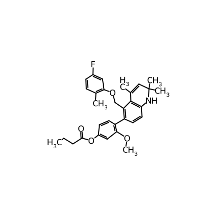 CCCC(=O)Oc1ccc(-c2ccc3c(c2COc2cc(F)ccc2C)C(C)=CC(C)(C)N3)c(OC)c1